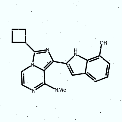 CNc1nccn2c(C3CCC3)nc(-c3cc4cccc(O)c4[nH]3)c12